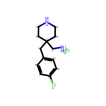 Cl.NCC1(Cc2ccc(Cl)cc2)CCNCC1